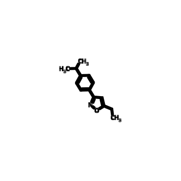 CCc1cc(-c2ccc(C(C)C)cc2)no1